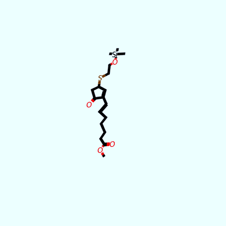 COC(=O)CCCCC=CC1=CC(SCCO[Si](C)(C)C)CC1=O